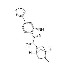 CN1C[C@@H]2C[C@H]1CN2C(=O)c1n[nH]c2cc(-c3ccoc3)ccc12